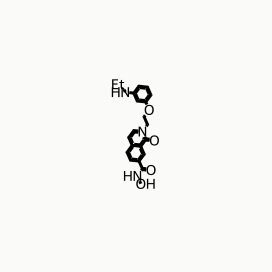 CCNc1cccc(OCCn2ccc3ccc(C(=O)NO)cc3c2=O)c1